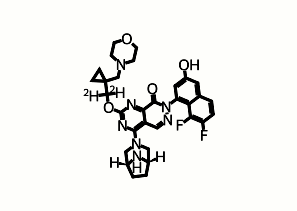 [2H]C([2H])(Oc1nc(N2C[C@H]3CC[C@@H](C2)N3)c2cnn(-c3cc(O)cc4ccc(F)c(F)c34)c(=O)c2n1)C1(CN2CCOCC2)CC1